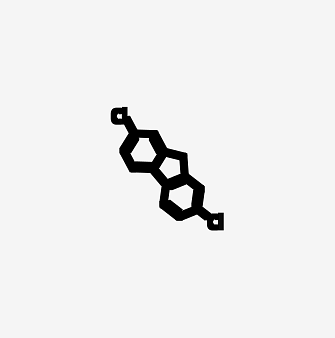 Clc1ccc2c(c1)Cc1cc(Cl)ccc1-2